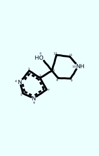 OC1(c2cncnc2)CCNCC1